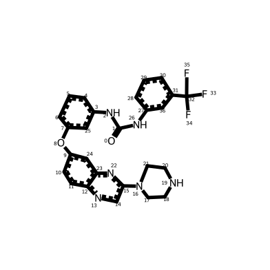 O=C(Nc1cccc(Oc2ccc3ncc(N4CCNCC4)nc3c2)c1)Nc1cccc(C(F)(F)F)c1